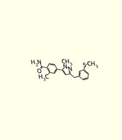 CSc1cccc(Cc2cc(-c3ccc(C(N)=O)c(C)c3)n(C)n2)c1